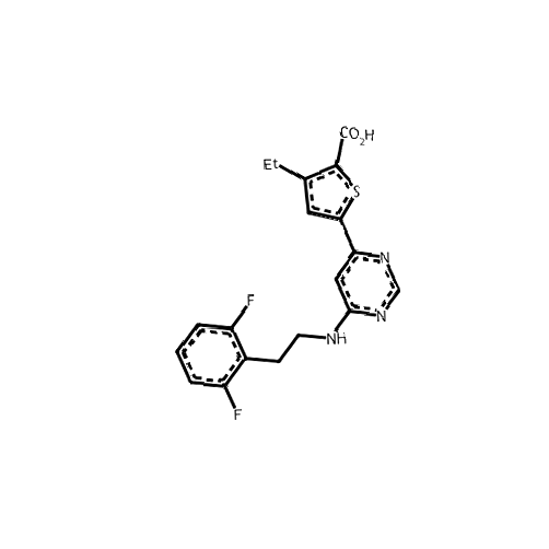 CCc1cc(-c2cc(NCCc3c(F)cccc3F)ncn2)sc1C(=O)O